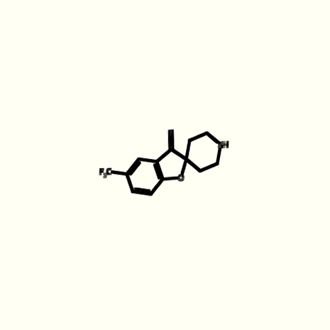 C=C1c2cc(C(F)(F)F)ccc2OC12CCNCC2